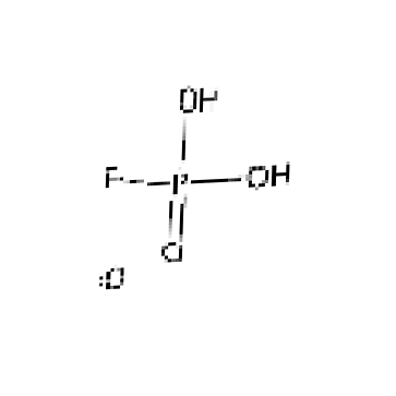 O=P(O)(O)F.[O]